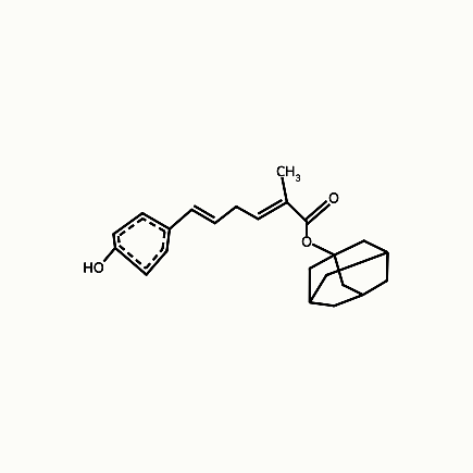 CC(=CCC=Cc1ccc(O)cc1)C(=O)OC12CC3CC(CC(C3)C1)C2